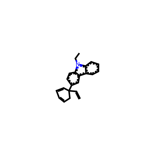 C=CC1(c2ccc3c(c2)c2ccccc2n3CC)C=CC=CC1